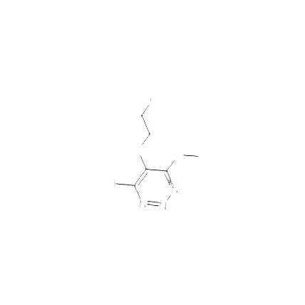 COc1nnnc(Cl)c1OCCCl